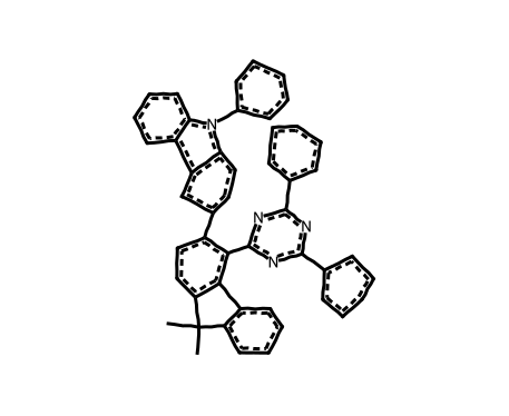 CC1(C)c2ccccc2-c2c1ccc(-c1ccc3c(c1)c1ccccc1n3-c1ccccc1)c2-c1nc(-c2ccccc2)nc(-c2ccccc2)n1